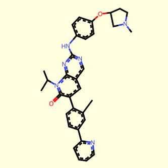 Cc1cc(-c2ccccn2)ccc1-c1cc2cnc(Nc3ccc(OC4CCN(C)C4)cc3)nc2n(C(C)C)c1=O